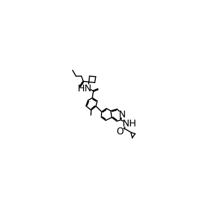 C=C(NC1(C(=C)CCC)CCC1)c1ccc(C)c(-c2ccc3cc(NC(=O)C4CC4)ncc3c2)c1